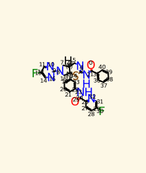 O=C(NC1=NC[C@H]2CN(c3ncc(F)cn3)C[C@]2(c2cccc(NC(=O)c3ccc(F)cn3)c2)S1)c1ccccc1